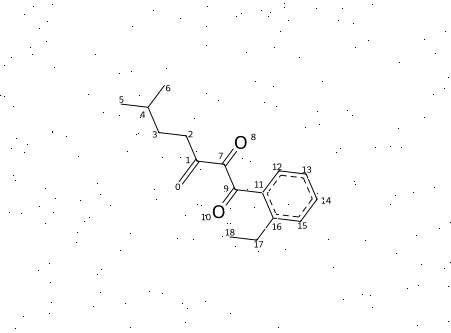 C=C(CCC(C)C)C(=O)C(=O)c1ccccc1CC